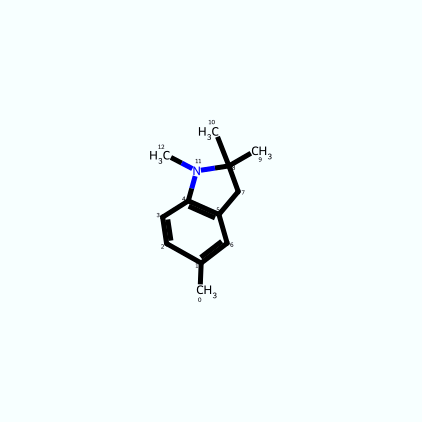 Cc1ccc2c(c1)CC(C)(C)N2C